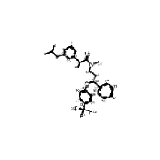 CC(C)Cc1cccc(C(C)C(=O)N(C)CC[C@H](Oc2ccc(C(F)(F)F)cc2)c2ccccc2)c1